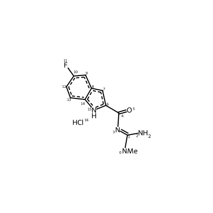 CNC(N)=NC(=O)c1cc2cc(F)ccc2[nH]1.Cl